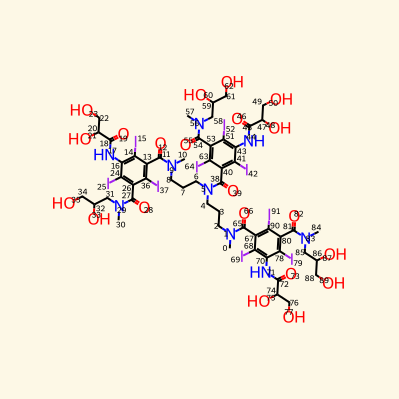 CN(CCCN(CCCN(C)C(=O)c1c(I)c(NC(=O)C(O)CO)c(I)c(C(=O)N(C)CC(O)CO)c1I)C(=O)c1c(I)c(NC(=O)C(O)CO)c(I)c(C(=O)N(C)CC(O)CO)c1I)C(=O)c1c(I)c(NC(=O)C(O)CO)c(I)c(C(=O)N(C)CC(O)CO)c1I